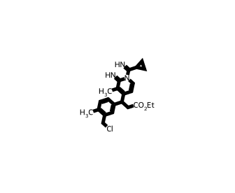 CCOC(=O)CC(c1ccc(C)c(CCl)c1)c1ccn(C(=N)C2CC2)c(=N)c1C